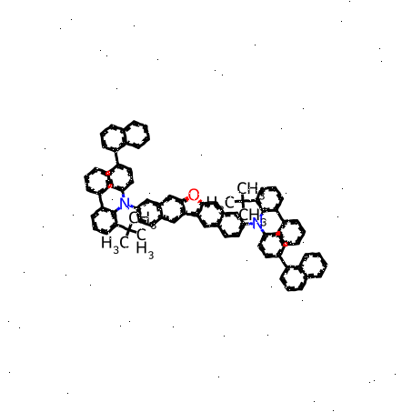 CC(C)(C)c1cccc(-c2ccccc2)c1N(c1ccc(-c2cccc3ccccc23)cc1)c1ccc2cc3c(cc2c1)oc1cc2cc(N(c4ccc(-c5cccc6ccccc56)cc4)c4c(-c5ccccc5)cccc4C(C)(C)C)ccc2cc13